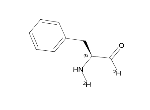 [2H]N[C@@H](Cc1ccccc1)C([2H])=O